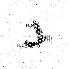 CCS(=O)(=O)c1ccc(CNC(=O)c2ccc3c(c2)CN(c2ncc(-c4ccc(=O)n(C)c4)cn2)C[C@@H]3C(C)C)cc1